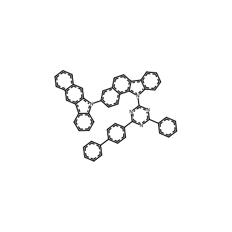 c1ccc(-c2ccc(-c3nc(-c4ccccc4)nc(-n4c5ccccc5c5ccc6cc(-n7c8ccccc8c8cc9ccccc9cc87)ccc6c54)n3)cc2)cc1